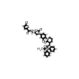 CC(C)(C)[Si](OCC1CCCN(c2ccc(N3C[C@H](CNC(=O)c4ccc(Cl)s4)OC3=O)cc2Cl)C1=O)(c1ccccc1)c1ccccc1